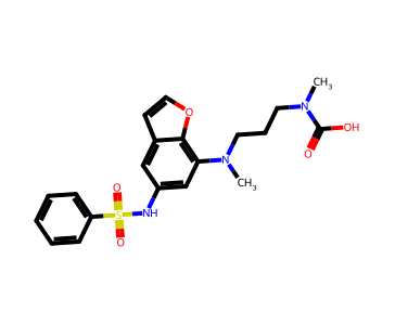 CN(CCCN(C)c1cc(NS(=O)(=O)c2ccccc2)cc2ccoc12)C(=O)O